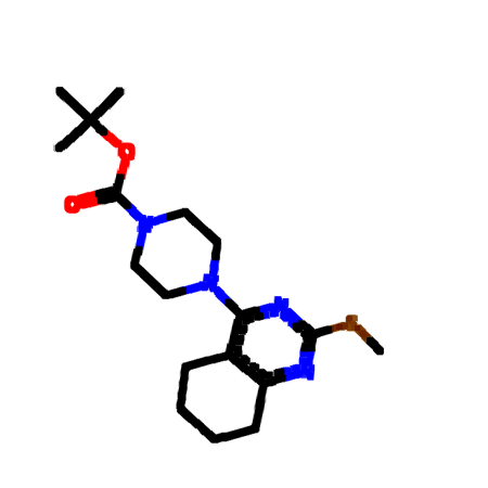 CSc1nc2c(c(N3CCN(C(=O)OC(C)(C)C)CC3)n1)CCCC2